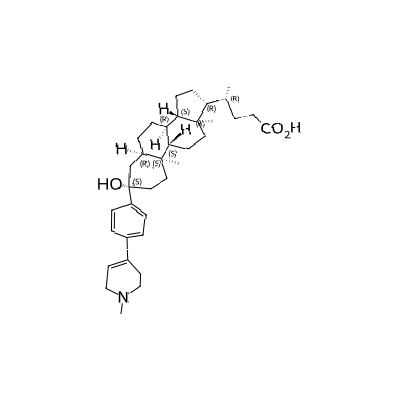 C[C@H](CCC(=O)O)[C@H]1CC[C@H]2[C@@H]3CC[C@@H]4C[C@](O)(c5ccc(C6=CCN(C)CC6)cc5)CC[C@]4(C)[C@H]3CC[C@]12C